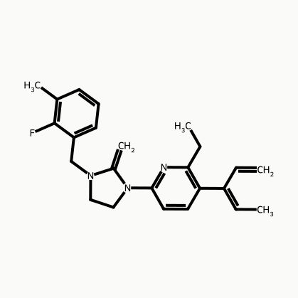 C=C/C(=C\C)c1ccc(N2CCN(Cc3cccc(C)c3F)C2=C)nc1CC